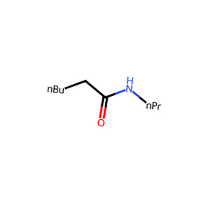 [CH2]CCCCC(=O)NCCC